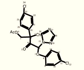 CC(=O)OCC(C)(C(=O)C(Oc1ccc(Cl)cc1)n1cncn1)c1ccc(Cl)cc1